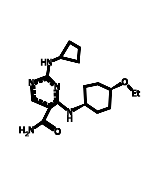 CCO[C@H]1CC[C@@H](Nc2nc(NC3CCC3)ncc2C(N)=O)CC1